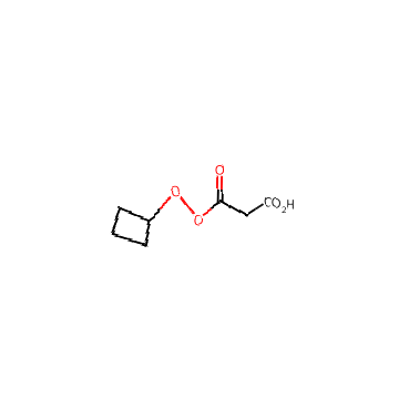 O=C(O)CC(=O)OOC1CCC1